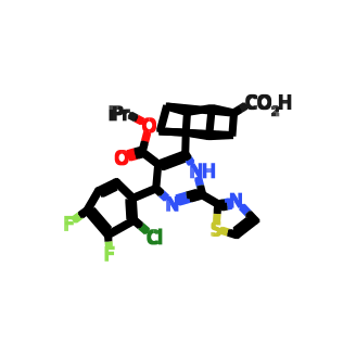 CC(C)OC(=O)C1=C(C23C4C5C2C2C3C4C52C(=O)O)NC(c2nccs2)=NC1c1ccc(F)c(F)c1Cl